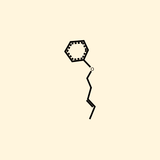 CC=CCCOc1ccccc1